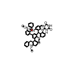 Cc1ccc(N=C=O)c(C(c2ccccc2N=c2[nH]c(=O)[nH]c(=O)[nH]2)c2cc(-c3cccc(N=C=O)c3Cc3ccccc3)cc(-c3cccc(N=C=O)c3Cc3ccccc3)c2N=C=O)c1